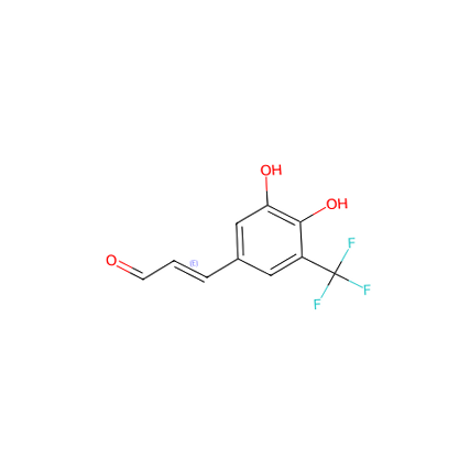 O=C/C=C/c1cc(O)c(O)c(C(F)(F)F)c1